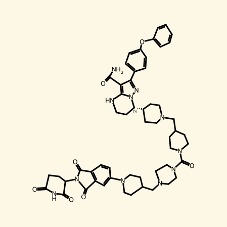 NC(=O)c1c(-c2ccc(Oc3ccccc3)cc2)nn2c1NCC[C@H]2C1CCN(CC2CCN(C(=O)N3CCN(CC4CCN(c5ccc6c(c5)C(=O)N(C5CCC(=O)NC5=O)C6=O)CC4)CC3)CC2)CC1